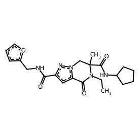 CCN1C(=O)c2cc(C(=O)NCc3ccco3)nn2CC1(C)C(=O)NC1CCCC1